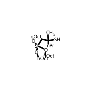 CCCCCCCCO[Si](CC(C)(S)CCC)(OCCCCCCCC)OCCCCCCCC